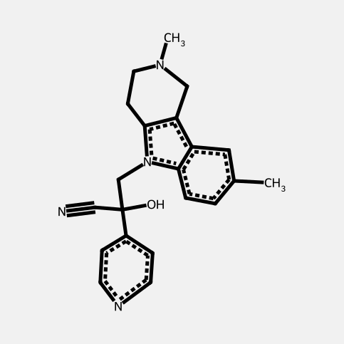 Cc1ccc2c(c1)c1c(n2CC(O)(C#N)c2ccncc2)CCN(C)C1